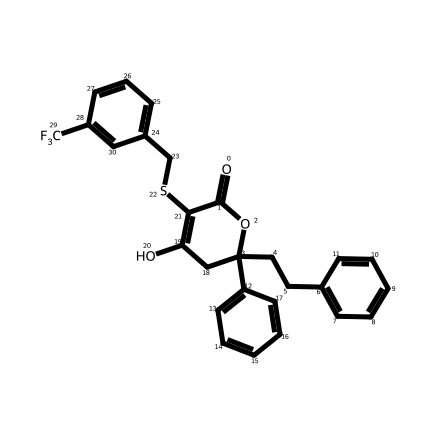 O=C1OC(CCc2ccccc2)(c2ccccc2)CC(O)=C1SCc1cccc(C(F)(F)F)c1